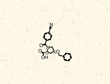 N#Cc1ccc(C(=O)N2C[C@H](OCc3ccccc3)C[C@H]2C(=O)O)cc1